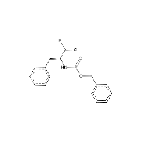 O=C(N[C@@H](Cc1ccccc1)C(=O)F)OCc1ccccc1